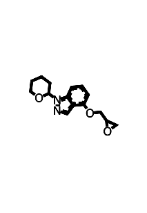 c1cc(OCC2CO2)c2cnn(C3CCCCO3)c2c1